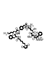 CN[C@H](C(=O)NC(C(=O)N(C)[C@H](/C=C(\C)C(=O)NS(=O)(=O)Cc1ccc(NC(=O)[C@H](CCCCN)NC(=O)[C@H](Cc2ccccc2)NC(=O)CCCCCN2C(=O)C=CC2=O)cc1)C(C)C)C(C)(C)C)C(C)(C)c1ccccc1